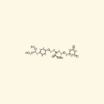 CCOC(Cc1ccc(OCCN(CCOCc2cc(Cl)cc(Cl)c2)C(=O)OCC(C)C)cc1)C(=O)O